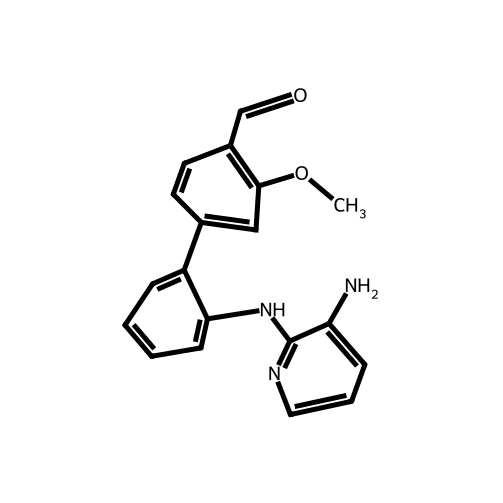 COc1cc(-c2ccccc2Nc2ncccc2N)ccc1C=O